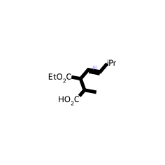 CCOC(=O)C(/C=C/C(C)C)C(C)C(=O)O